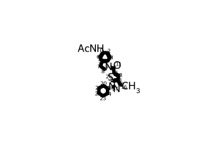 CC(=O)Nc1ccc2c(c1)CCN2C(=O)c1cc2c(C)nn(C3CCCCC3)c2s1